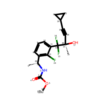 C[C@@H](NC(=O)OC(C)(C)C)c1cccc(C(F)(F)[C@](C)(O)C#CC2CC2)c1F